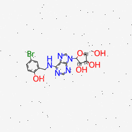 OC[C@H]1OC(n2cnc3c(NCc4cc(Br)ccc4O)ncnc32)[C@@H](O)[C@@H]1O